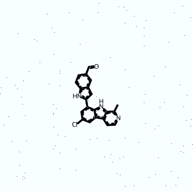 Cc1nccc2c1[nH]c1c(-c3cc4cc(C=O)ccc4[nH]3)cc(Cl)cc12